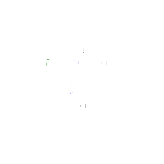 C=CC(C)N(C)/C(F)=C\C=C\C